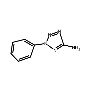 Nc1nnn(-c2ccccc2)n1